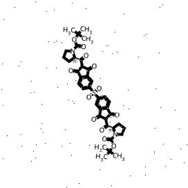 CC(C)(C)OC(=O)N1CCC[C@@H]1C(=O)C1C(=O)c2ccc(S(=O)(=O)c3ccc4c(c3)C(=O)C(C(=O)[C@H]3CCCN3C(=O)OC(C)(C)C)C4=O)cc2C1=O